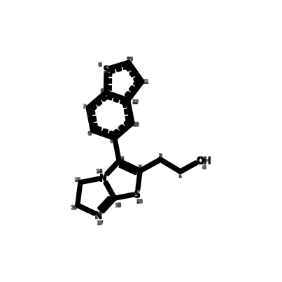 OCCC1=C(c2ccc3sccc3c2)N2CCN=C2S1